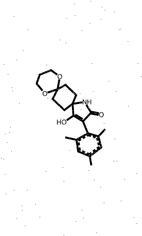 Cc1cc(C)c(C2=C(O)C3(CCC4(CC3)OCCCO4)NC2=O)c(C)c1